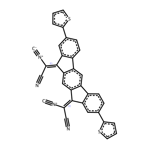 [C-]#[N+]/C(C#N)=C1/c2cc(-c3cccs3)ccc2-c2cc3c(cc21)/C(=C(\C#N)[N+]#[C-])c1cc(-c2cccs2)ccc1-3